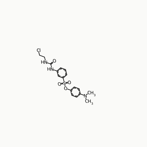 CN(C)c1ccc(OS(=O)(=O)c2cccc(NC(=O)NCCCl)c2)cc1